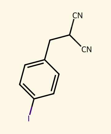 N#CC(C#N)Cc1ccc(I)cc1